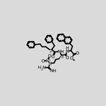 COC(=O)C(Cc1ccc2ccccc2c1)NC(=O)[C@@H](CCCN(C(=N)N)[N+](=O)[O-])NC(=O)[C@@H](CCCCc1ccccc1)Cc1ccccc1